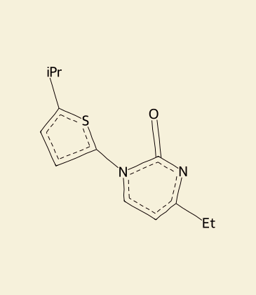 CCc1ccn(-c2ccc(C(C)C)s2)c(=O)n1